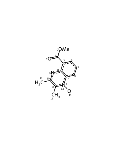 COC(=O)c1cccc2c1nc(C)c(C)[n+]2[O-]